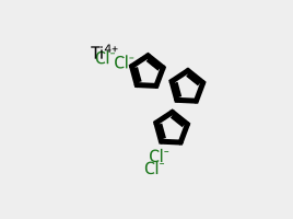 C1=CCC=C1.C1=CCC=C1.C1=CCC=C1.[Cl-].[Cl-].[Cl-].[Cl-].[Ti+4]